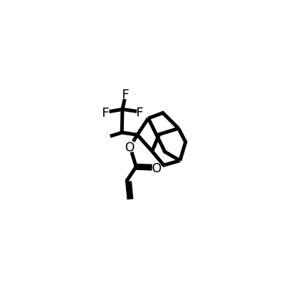 C=CC(=O)OC1(C(C)C(F)(F)F)C2CC3CC(C2)CC1C3